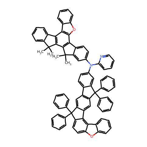 CC1(C)c2cc(N(c3ccc4c(c3)C(c3ccccc3)(c3ccccc3)c3cc5c(cc3-4)C(c3ccccc3)(c3ccccc3)c3ccc4oc6ccccc6c4c3-5)c3ccccn3)ccc2-c2c1c1c(c3c2oc2ccccc23)-c2ccccc2C1(C)C